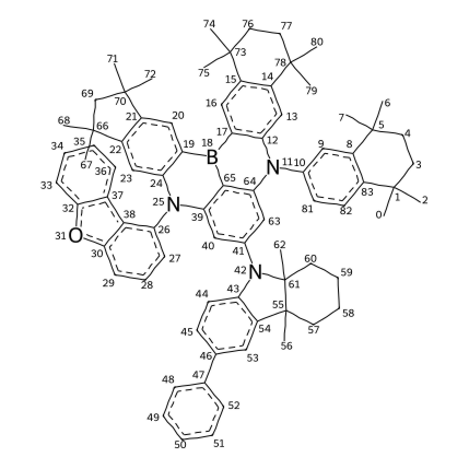 CC1(C)CCC(C)(C)c2cc(N3c4cc5c(cc4B4c6cc7c(cc6N(c6cccc8oc9ccccc9c68)c6cc(N8c9ccc(-c%10ccccc%10)cc9C9(C)CCCCC89C)cc3c64)C(C)(C)CC7(C)C)C(C)(C)CCC5(C)C)ccc21